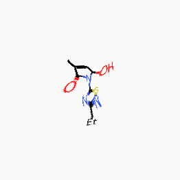 CCc1nsc(N2C(=O)C(C)=CC2O)n1